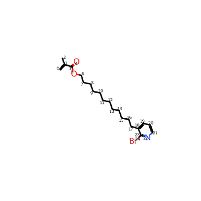 C=C(C)C(=O)OCCCCCCCCCCCCc1cccnc1Br